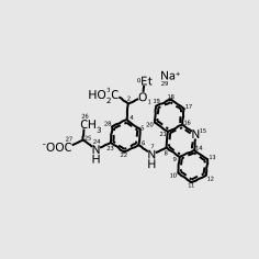 CCOC(C(=O)O)c1cc(Nc2c3ccccc3nc3ccccc23)cc(NC(C)C(=O)[O-])c1.[Na+]